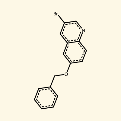 Brc1cnc2ccc(OCc3ccccc3)[c]c2c1